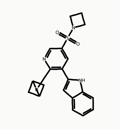 O=S(=O)(c1cnc(N2CC3CC2C3)c(-c2cc3ccccc3[nH]2)c1)N1CCC1